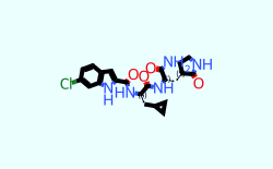 NC(=O)[C@H](C[C@@H]1CCNC1=O)NC(=O)[C@H](CC1CC1)NC(=O)c1cc2ccc(Cl)cc2[nH]1